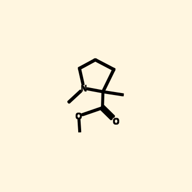 COC(=O)C1(C)CCCN1C